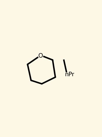 C1CCOCC1.CCCC